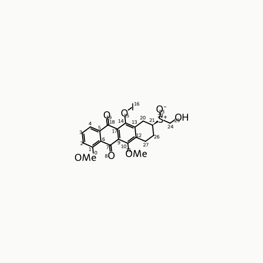 COc1cccc2c1C(=O)c1c(OC)c3c(c(OI)c1C2=O)C[C@@H]([S+]([O-])CO)CC3